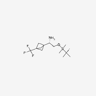 CC(C)(C)[Si](C)(C)OC[C@@H](N)C12CC(C(F)(F)F)(C1)C2